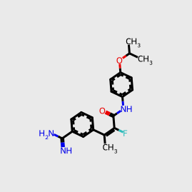 CC(=C(F)C(=O)Nc1ccc(OC(C)C)cc1)c1cccc(C(=N)N)c1